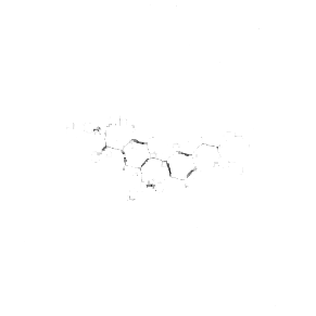 CC(C)Cc1cccc(-c2ccc(C(=O)N(C)C)cc2[N+](=O)[O-])c1